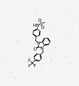 CS(=O)(=O)Nc1ccc(Cn2c(=O)n(Cc3ccc(C(F)(F)F)cc3)c3ccccc32)cc1